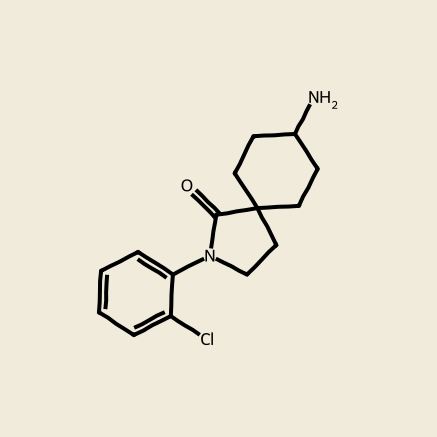 NC1CCC2(CC1)CCN(c1ccccc1Cl)C2=O